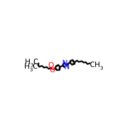 CCCCCCCCc1ccc(-c2ncc(-c3ccc(OC(=O)CCCCCC(C)CC)cc3)cn2)cc1